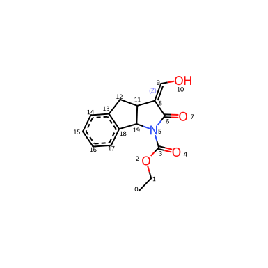 CCOC(=O)N1C(=O)/C(=C\O)C2Cc3ccccc3C21